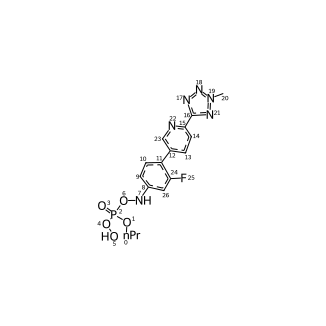 CCCOP(=O)(OO)ONc1ccc(-c2ccc(-c3nnn(C)n3)nc2)c(F)c1